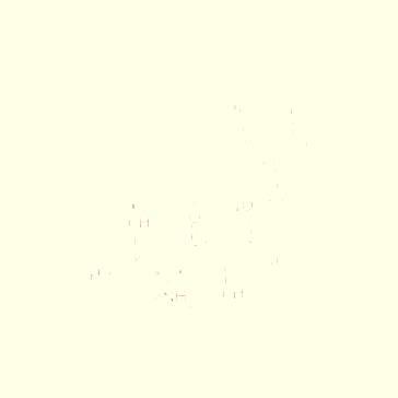 CC(C(=O)OCc1ccccc1)C(=O)[C@H](N)C(C)C